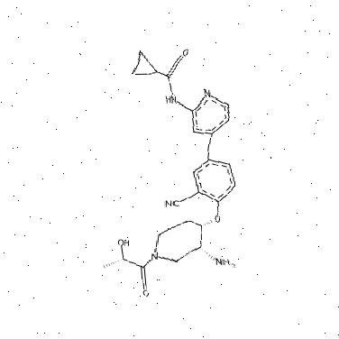 C[C@H](O)C(=O)N1CC[C@H](Oc2ccc(-c3ccnc(NC(=O)C4CC4)c3)cc2C#N)[C@H](N)C1